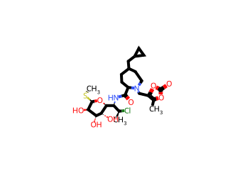 CS[C@H]1O[C@H]([C@H](NC(=O)C2CCC(CC3CC3)CCN2Cc2oc(=O)oc2C)[C@H](C)Cl)[C@H](O)[C@H](O)[C@H]1O